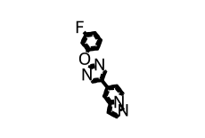 Fc1cccc(Oc2ncc(-c3ccn4nccc4c3)cn2)c1